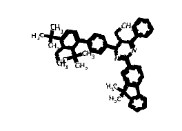 CCC1C(c2ccccc2)=NC(c2ccc3c(c2)C(C)(C)c2ccccc2-3)=NC1c1ccc(C2=CC=C(C(C)(C)C)C(CC)C2C(C)(C)C)cc1